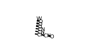 C=O.C=O.C=O.C=O.CC#N.CC#N.CC#N.CC#N.[W]